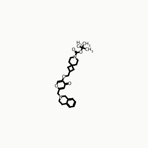 CC(C)(C)OC(=O)N1CCC2(CC1)CC(COc1coc(CN3CCc4ccccc4C3)cc1=O)C2